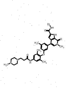 CCNC(=O)c1cc2c(-c3cc(C)cc(Oc4c(C)cc(NC(=O)CCN5CCN(C)CC5)cc4C)c3)cn(C)c(=O)c2[nH]1